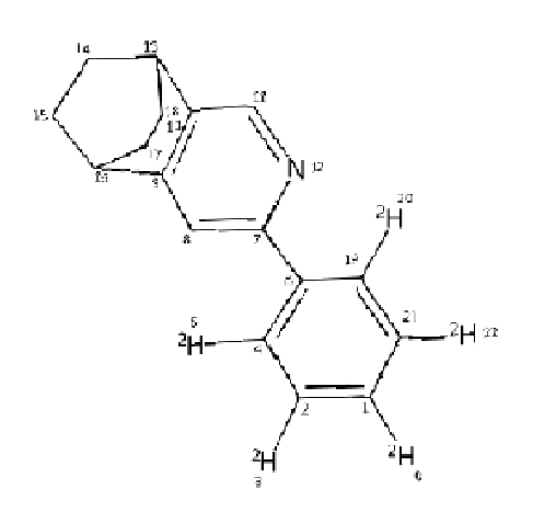 [2H]c1c([2H])c([2H])c(-c2cc3c(cn2)C2CCC3CC2)c([2H])c1[2H]